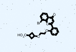 O=C(O)C1CC(OCCOc2ccccc2-c2cc(=O)c3cccc(Br)c3o2)C1